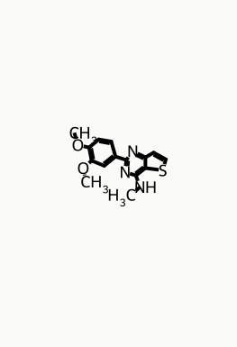 CNc1nc(-c2ccc(OC)c(OC)c2)nc2ccsc12